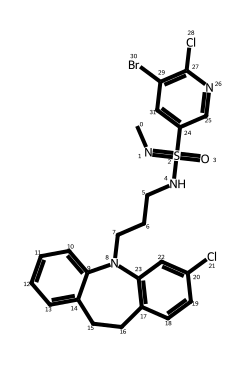 CN=S(=O)(NCCCN1c2ccccc2CCc2ccc(Cl)cc21)c1cnc(Cl)c(Br)c1